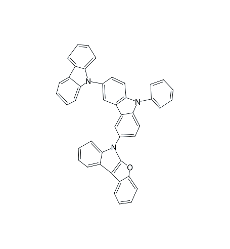 c1ccc(-n2c3ccc(-n4c5ccccc5c5ccccc54)cc3c3cc(-n4c5ccccc5c5c6ccccc6oc54)ccc32)cc1